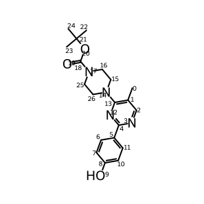 Cc1cnc(-c2ccc(O)cc2)nc1N1CCN(C(=O)OC(C)(C)C)CC1